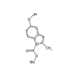 Cc1cc2cc(OC(C)C)ccc2n1C(=O)OC(C)(C)C